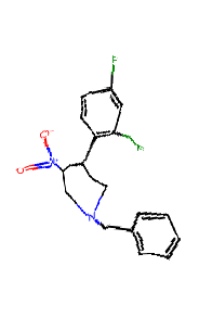 O=[N+]([O-])C1CN(Cc2ccccc2)C[C@@H]1c1ccc(F)cc1F